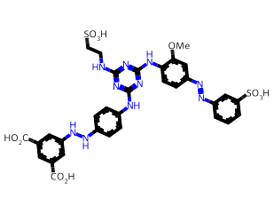 COc1cc(N=Nc2cccc(S(=O)(=O)O)c2)ccc1Nc1nc(NCCS(=O)(=O)O)nc(Nc2ccc(NNc3cc(C(=O)O)cc(C(=O)O)c3)cc2)n1